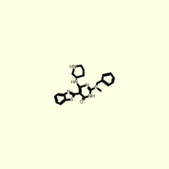 CN(Cc1ccccc1)c1nc(N[C@@H]2CCCNC2)c(-c2nc3ccccc3s2)c(=O)[nH]1